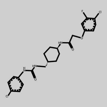 O=C(NC[C@H]1CC[C@H](NC(=O)COc2ccc(Cl)c(F)c2)CC1)Nc1ccc(Cl)cc1